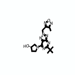 Cc1nonc1Cn1nc2nc(C(C)(C)C)nc(N3CC[C@H](O)C3)c2n1